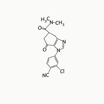 CN(C)C(=O)C1CC(=O)c2c(ncn2-c2ccc(C#N)c(Cl)c2)C1